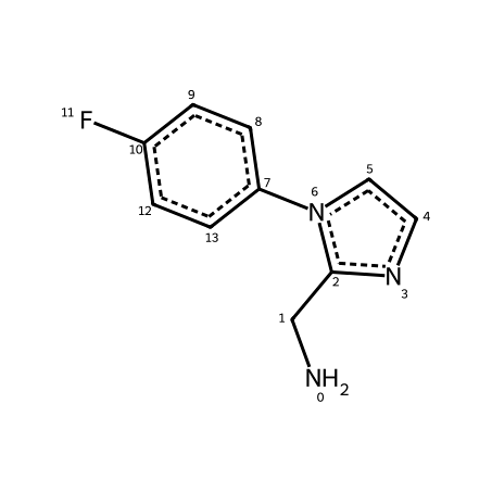 NCc1nccn1-c1ccc(F)cc1